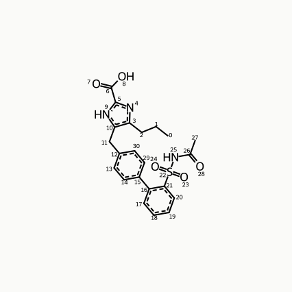 CCCc1nc(C(=O)O)[nH]c1Cc1ccc(-c2ccccc2S(=O)(=O)NC(C)=O)cc1